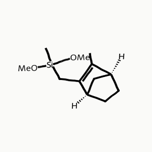 CO[Si](C)(CC1=C(C)[C@H]2CC[C@@H]1C2)OC